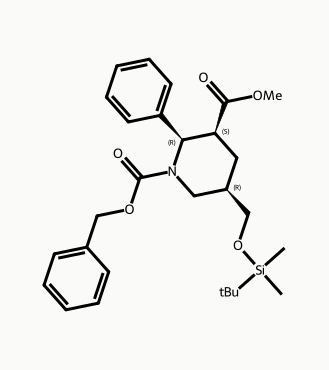 COC(=O)[C@H]1C[C@@H](CO[Si](C)(C)C(C)(C)C)CN(C(=O)OCc2ccccc2)[C@H]1c1ccccc1